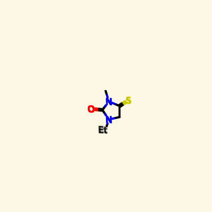 CCN1CC(=S)N(C)C1=O